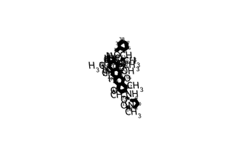 COc1cc(NC(=O)[C@@H]2CCCN2C(C)=O)c(C)c2c1C[C@H]1C[C@H]3[C@H](N(C)C)c4onc(OCc5ccccc5)c4C(=O)[C@@]3(O[Si](C)(C)C(C)(C)C)C(O)=C1C2=O